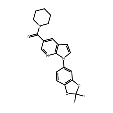 O=C(c1cnc2c(ccn2-c2ccc3c(c2)OC(F)(F)O3)c1)N1CCCCC1